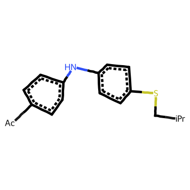 CC(=O)c1ccc(Nc2ccc(SCC(C)C)cc2)cc1